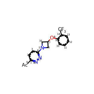 CC(=O)c1ccc(N2CC(Oc3ccccc3C(F)(F)F)C2)nn1